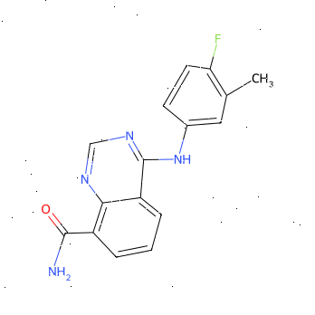 Cc1cc(Nc2ncnc3c(C(N)=O)cccc23)ccc1F